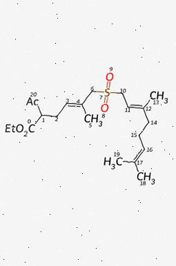 CCOC(=O)C(C/C=C(\C)CS(=O)(=O)C/C=C(\C)CCC=C(C)C)C(C)=O